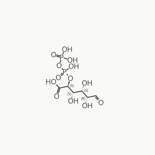 O=C[C@H](O)[C@@H](O)[C@H](O)[C@H](OP(=O)(O)OP(=O)(O)O)C(=O)O